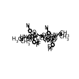 CN(C)CCNC(=O)CN1C(=O)N(c2cccc(C(F)(F)F)c2)C2=C(C(=O)N(CCC[N+](C)(C)CCCN3CC4=C(C3=O)[C@@H](c3ccc(C#N)cc3)N(CC(=O)NCCN(C)C)C(=O)N4c3cccc(C(F)(F)F)c3)C2)[C@H]1c1ccc(C#N)cc1